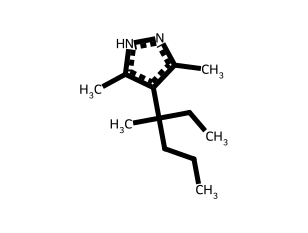 CCCC(C)(CC)c1c(C)n[nH]c1C